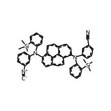 [C-]#[N+]c1cccc(N(c2ccccc2[Si](C)(C)C)c2ccc3ccc4c(N(c5cccc(C#N)c5)c5ccccc5[Si](C)(C)C)ccc5ccc2c3c54)c1